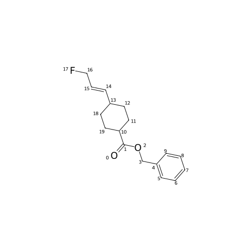 O=C(OCc1ccccc1)C1CCC(/C=C/CF)CC1